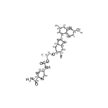 COc1cnc2c(-c3nc4cc(F)c(OC[C@@H](C)OC(=O)Nc5cnc(C(N)=O)nc5)cc4s3)cc(C)cc2n1